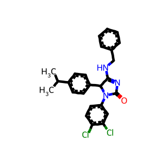 CC(C)c1ccc(C2C(NCc3ccccc3)=NC(=O)N2c2ccc(Cl)c(Cl)c2)cc1